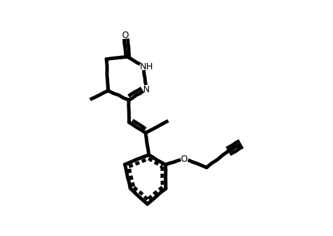 C#CCOc1ccccc1C(C)=CC1=NNC(=O)CC1C